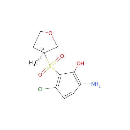 C[C@]1(S(=O)(=O)c2c(Cl)ccc(N)c2O)CCOC1